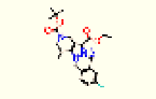 CCOC(=O)c1nn(Cc2ccc(F)cc2C#N)c2c1CN(C(=O)OC(C)(C)C)CC2C